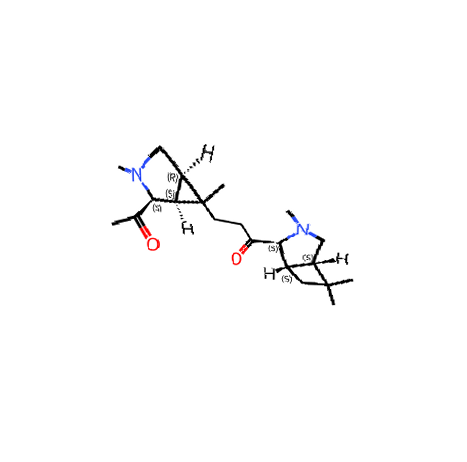 CC(=O)[C@@H]1[C@H]2[C@@H](CN1C)C2(C)CCC(=O)[C@@H]1[C@H]2CC(C)(C)[C@H]2CN1C